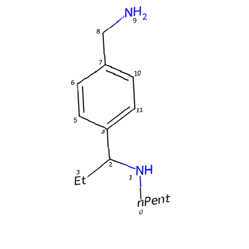 CCCCCNC(CC)c1ccc(CN)cc1